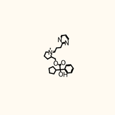 C[N@+]1(CCCc2ncccn2)CCCC1COC(=O)C(O)(c1ccccc1)C1CCCC1